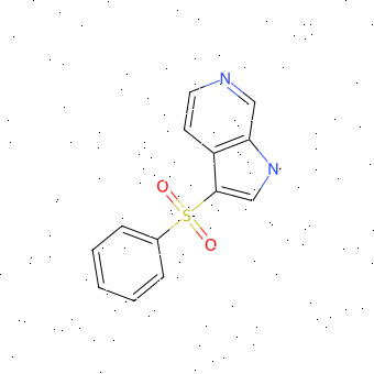 O=S(=O)(C1=C[N]c2cnccc21)c1ccccc1